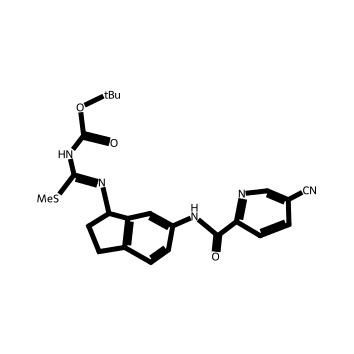 CS/C(=N\C1CCc2ccc(NC(=O)c3ccc(C#N)cn3)cc21)NC(=O)OC(C)(C)C